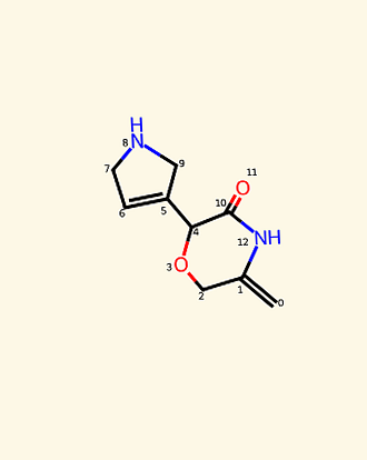 C=C1COC(C2=CCNC2)C(=O)N1